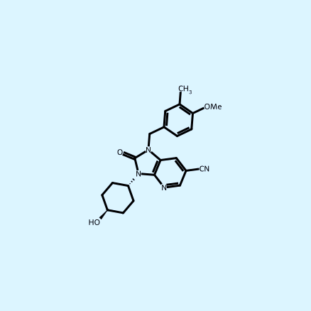 COc1ccc(Cn2c(=O)n([C@H]3CC[C@H](O)CC3)c3ncc(C#N)cc32)cc1C